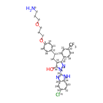 NCCCOCCCOc1ccc(CCc2c(-c3ccc(C(F)(F)F)cc3)nn(-c3nc4cc(Cl)ccc4[nH]3)c2O)cc1